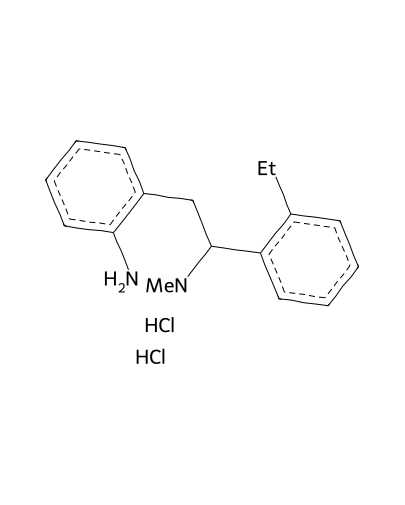 CCc1ccccc1C(Cc1ccccc1N)NC.Cl.Cl